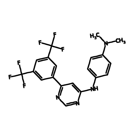 CN(C)c1ccc(Nc2cc(-c3cc(C(F)(F)F)cc(C(F)(F)F)c3)ncn2)cc1